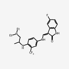 CCN(CC)CC(C)Nc1ccc(NC=C2C(=O)Nc3ccc(F)cc32)cc1C(F)(F)F